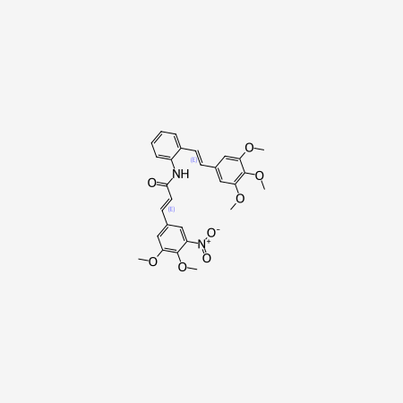 COc1cc(/C=C/c2ccccc2NC(=O)/C=C/c2cc(OC)c(OC)c([N+](=O)[O-])c2)cc(OC)c1OC